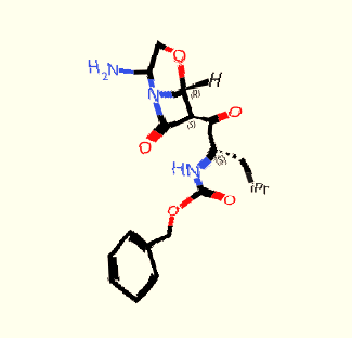 CC(C)C[C@H](NC(=O)OCc1ccccc1)C(=O)[C@H]1C(=O)N2C(N)CO[C@H]12